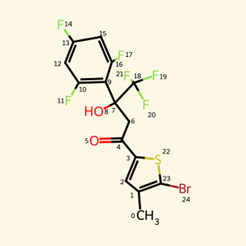 Cc1cc(C(=O)CC(O)(c2c(F)cc(F)cc2F)C(F)(F)F)sc1Br